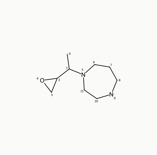 CC(C1CO1)N1CCC[N]CC1